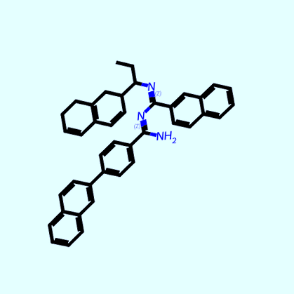 CCC(/N=C(\N=C(/N)c1ccc(-c2ccc3ccccc3c2)cc1)c1ccc2ccccc2c1)C1C=CC2=C(CCC=C2)C1